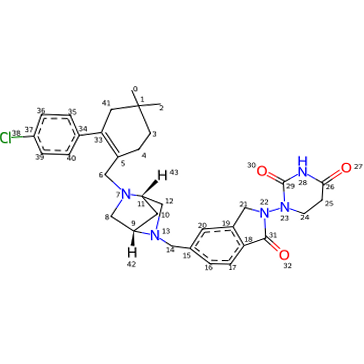 CC1(C)CCC(CN2C[C@@H]3C[C@H]2CN3Cc2ccc3c(c2)CN(N2CCC(=O)NC2=O)C3=O)=C(c2ccc(Cl)cc2)C1